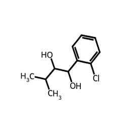 CC(C)C(O)C(O)c1ccccc1Cl